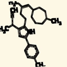 C#CC(C)c1cc(-c2ccc(C)cc2)[nH]c1CC/C(C)=C\C1CCCC(C)CC1